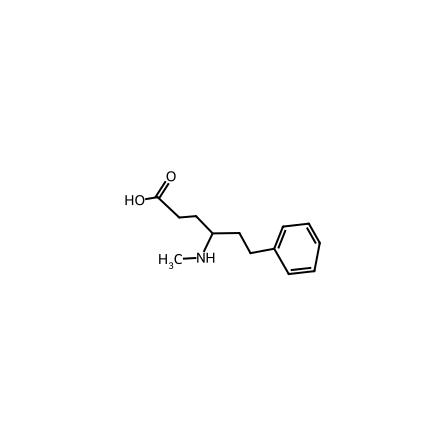 CNC(CCC(=O)O)CCc1ccccc1